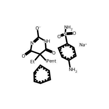 CCCC(C)C1(CC)C(=O)N=C([O-])NC1=O.Nc1ccc(S(N)(=O)=O)cc1.[Na+].c1ccccc1